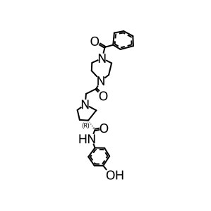 O=C(Nc1ccc(O)cc1)[C@@H]1CCN(CC(=O)N2CCN(C(=O)c3ccccc3)CC2)C1